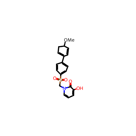 COC1C=CC(c2ccc(S(=O)(=O)Cn3cccc(O)c3=O)cc2)=CC1